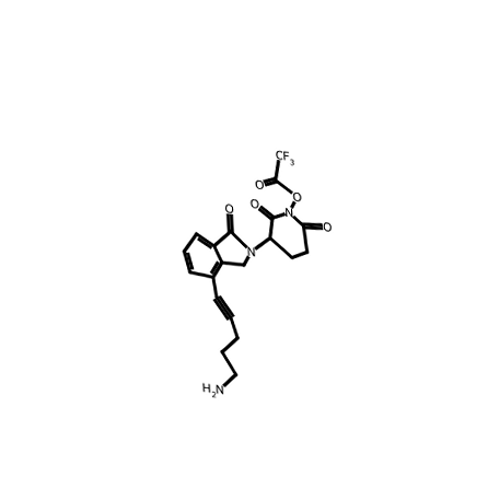 NCCCC#Cc1cccc2c1CN(C1CCC(=O)N(OC(=O)C(F)(F)F)C1=O)C2=O